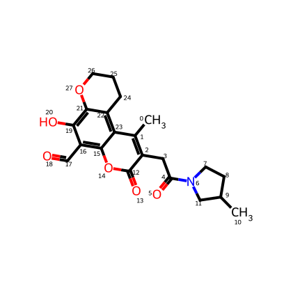 Cc1c(CC(=O)N2CCC(C)C2)c(=O)oc2c(C=O)c(O)c3c(c12)CCCO3